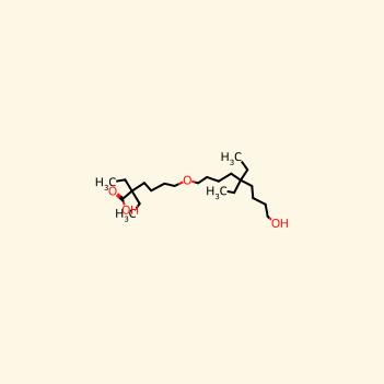 CCC(CC)(CCCCO)CCCCOCCCCC(CC)(CC)C(=O)O